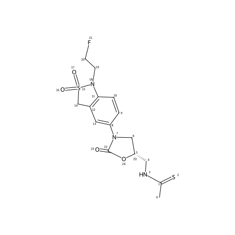 CC(=S)NC[C@H]1CN(c2ccc3c(c2)CS(=O)(=O)N3CCF)C(=O)O1